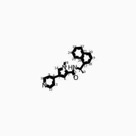 C[C@@H](NC(=O)c1cc(-c2ccncc2)cn1C)c1cccc2ccccc12